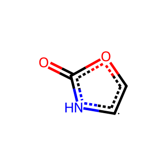 O=c1[nH][c]co1